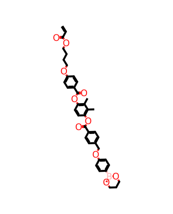 C=CC(=O)OCCCCOc1ccc(C(=O)Oc2ccc(OC(=O)c3ccc(COc4ccc(B5OCCCO5)cc4)cc3)c(C)c2C)cc1